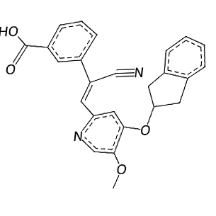 COc1cnc(C=C(C#N)c2cccc(C(=O)O)c2)cc1OC1Cc2ccccc2C1